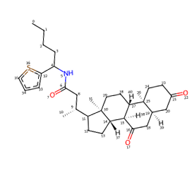 CCCCC(NC(=O)C[C@@H](C)C1CC[C@H]2[C@@H]3C(=O)C[C@@H]4CC(=O)CC[C@]4(C)[C@H]3CC[C@]12C)c1cccs1